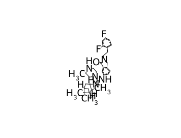 C[C@@H]1[C@@H](/N=C(/Nc2ccc3c(c2)C(=O)N(CCc2ccc(F)cc2F)C3)N2CCN[C@@H](C)C2)C[C@H]2C[C@@H]1C2(C)C